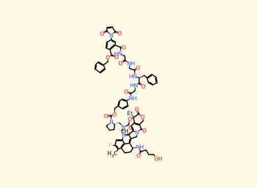 CC[C@@]1(OC(=O)N(C)C[C@@H]2CCCN2C(=O)OCc2ccc(NC(=O)CNC(=O)[C@H](Cc3ccccc3)NC(=O)CNC(=O)CNC(=O)c3cc(N4C(=O)C=CC4=O)ccc3C(=O)OCc3ccccc3)cc2)C(=O)OCc2c1cc1n(c2=O)Cc2c-1nc1cc(F)c(C)c3c1c2[C@@H](NC(=O)CCCO)CC3